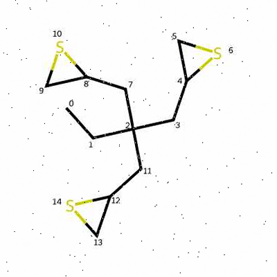 CCC(CC1CS1)(CC1CS1)CC1CS1